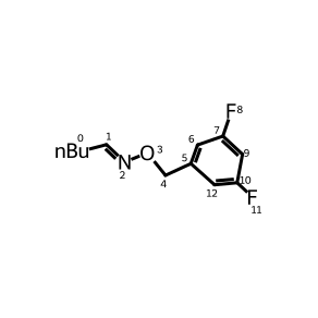 CCCCC=NOCc1cc(F)cc(F)c1